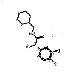 O=C(NCC1CCCCC1)N(S)c1ccc(O)c(Cl)c1